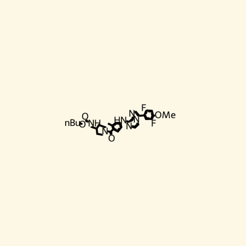 CCCCOC(=O)NCC1CCN(C(=O)c2ccc(Nc3nccn4c(-c5cc(F)c(OC)cc5F)cnc34)cc2C)CC1